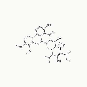 COc1ccc2c(c1OC)OC1c3c-2ccc(O)c3C(=O)C2=C(O)C3(O)C(=O)C(C(N)=O)=C(O)C(N(C)C)C3CC21